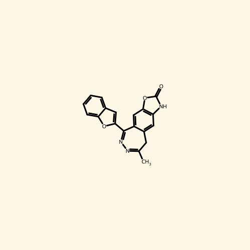 CC1=NN=C(c2cc3ccccc3o2)c2cc3oc(=O)[nH]c3cc2C1